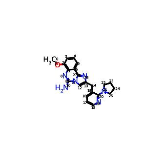 COc1cccc2c1nc(N)n1cc(Cc3cccnc3N3CCCC3)nc21